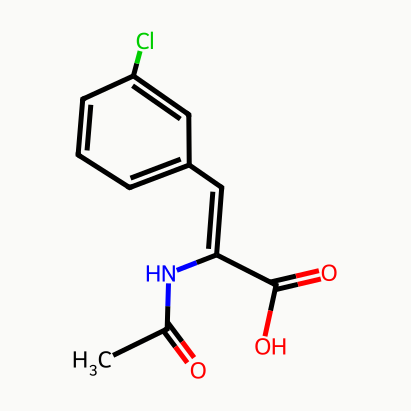 CC(=O)NC(=Cc1cccc(Cl)c1)C(=O)O